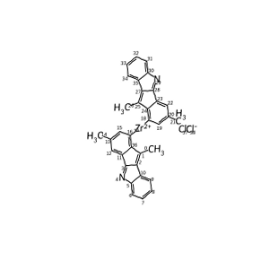 CC1=C2C(=Nc3ccccc32)c2cc(C)c[c]([Zr+2][c]3cc(C)cc4c3C(C)=C3C4=Nc4ccccc43)c21.[Cl-].[Cl-]